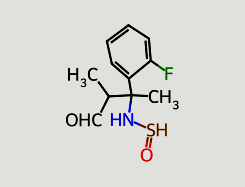 CC(C=O)C(C)(N[SH]=O)c1ccccc1F